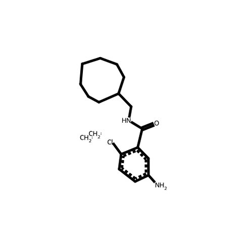 Nc1ccc(Cl)c(C(=O)NC[C]2CCCCCCC2)c1.[CH2].[CH2]